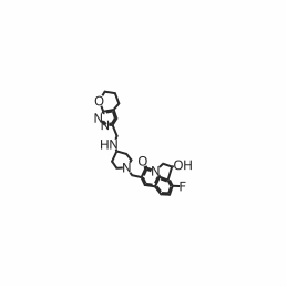 O=c1c(CN2CCC(NCc3cc4c(nn3)OCCC4)CC2)cc2ccc(F)c3c2n1CC3O